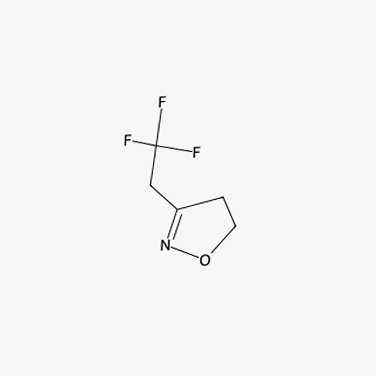 FC(F)(F)CC1=NOCC1